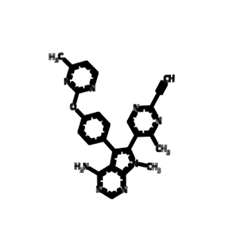 C#Cc1ncc(-c2c(-c3ccc(Oc4nccc(C)n4)cc3)c3c(N)ncnc3n2C)c(C)n1